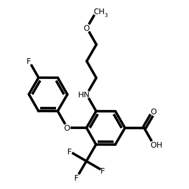 COCCCNc1cc(C(=O)O)cc(C(F)(F)F)c1Oc1ccc(F)cc1